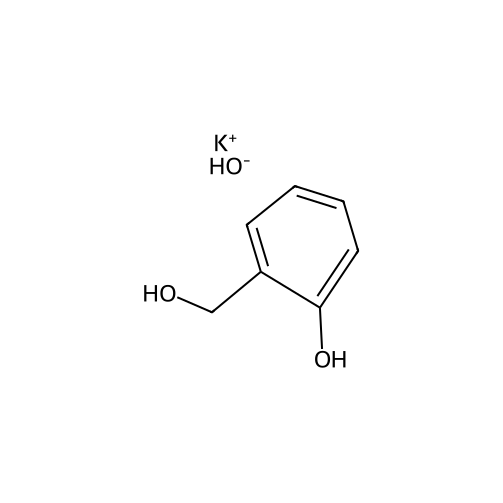 OCc1ccccc1O.[K+].[OH-]